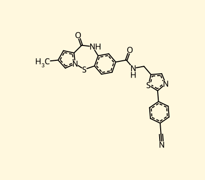 Cc1cc2n(c1)Sc1ccc(C(=O)NCc3cnc(-c4ccc(C#N)cc4)s3)cc1NC2=O